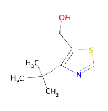 CC(C)(C)c1ncsc1CO